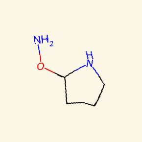 NOC1CCCN1